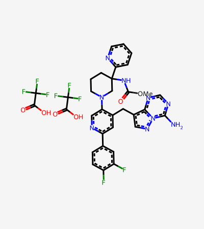 COC(=O)NC1(c2ccccn2)CCCN(c2cnc(-c3ccc(F)c(F)c3)cc2Cc2cnn3c(N)ncnc23)C1.O=C(O)C(F)(F)F.O=C(O)C(F)(F)F